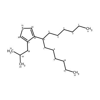 CCCCCCC(CCCCCC)c1cscc1CC(C)C